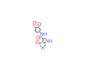 CC1(C)CC(=O)c2c(C(=O)Nc3ccc4c(c3)OCOC4)c[nH]c2C1